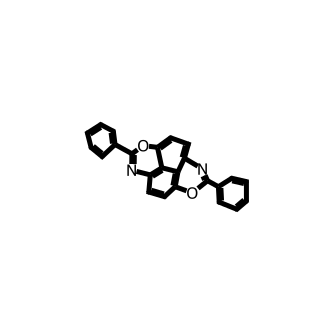 c1ccc(C2=Nc3ccc4c5c(ccc(c35)O2)N=C(c2ccccc2)O4)cc1